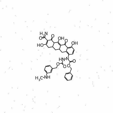 CNc1cccc(COC(=O)NN(C(=O)OCc2ccccc2)c2ccc(O)c3c2CC2CC4CC(O)=C(C(N)=O)C(=O)C4C(O)=C2C3=O)c1